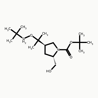 CC(C)(C)OC(=O)N1C[C@H](C(C)(C)O[SiH2]C(C)(C)C)C[C@H]1CO